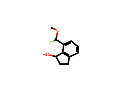 COC(F)c1cccc2c1C(O)CC2